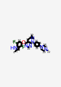 Cc1cc2c(F)c(Oc3ncnc(Nc4ccc(N5CCN(C)CC5)cc4)c3CC3CC3)cc(F)c2[nH]1